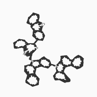 c1ccc2c(c1)ccc1c2c2ccccc2n1-c1ccc2c(c1)c1c3ccccc3ccc1n2-c1nc(-c2ccc3oc4ccccc4c3c2)c2ccccc2n1